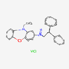 Cl.O=CCN1c2ccccc2Oc2ccc(NCC(c3ccccc3)c3ccccc3)cc21